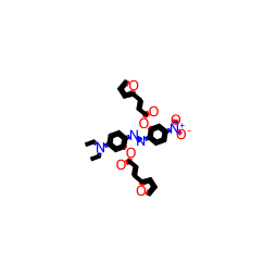 CCN(CC)c1ccc(N=Nc2ccc([N+](=O)[O-])cc2OC(=O)C=Cc2ccco2)c(OC(=O)C=Cc2ccco2)c1